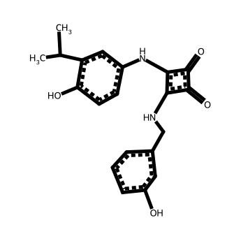 CC(C)c1cc(Nc2c(NCc3cccc(O)c3)c(=O)c2=O)ccc1O